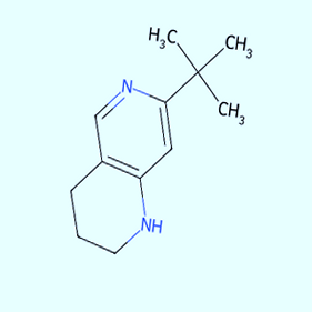 CC(C)(C)c1cc2c(cn1)CCCN2